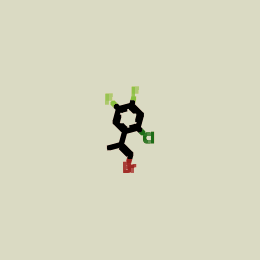 CC(=CBr)c1cc(F)c(F)cc1Cl